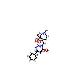 CN1CCC(O)(Cn2cnc(-c3ccccc3)cc2=O)C(C)(C)C1